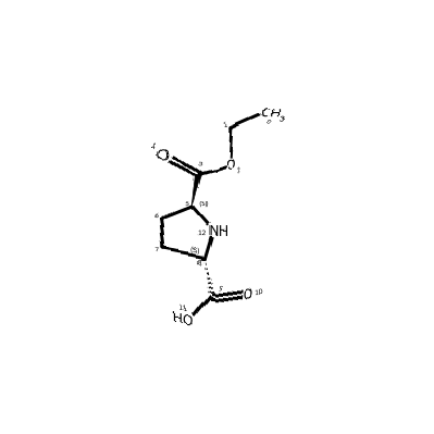 CCOC(=O)[C@@H]1CC[C@@H](C(=O)O)N1